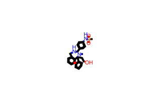 CN1C(c2ccc(NS(C)(=O)=O)cc2)NCc2ccccc2C1(CCO)c1ccccc1